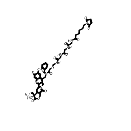 CC[C@@]1(O)C(=O)OCc2c1cc1n(c2=O)Cc2c-1nc1cc(F)c(C)cc1c2CN(Cc1ccccc1)C(=O)COCNC(=O)CNC(=O)CNC(=O)CNC(=O)CCCCCN1C(=O)C=CC1=O